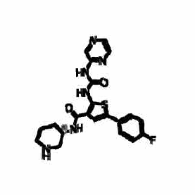 O=C(Nc1cnccn1)Nc1sc(-c2ccc(F)cc2)cc1C(=O)N[C@H]1CCCNC1